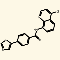 O=C(Nc1cccc2c(Cl)ccnc12)c1ccc(-c2cncs2)cc1